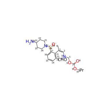 C/C(=C/N(C)COC(=O)OC(C)C)c1c(C=O)cccc1[S+]([O-])N1CCC(N)CC1